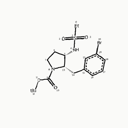 CCS(=O)(=O)N[C@H]1CCN(C(=O)OC(C)(C)C)[C@H]1Cc1cccc(Br)c1